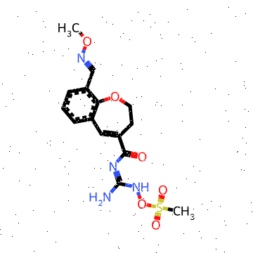 CON=Cc1cccc2c1OCCC(C(=O)N=C(N)NOS(C)(=O)=O)=C2